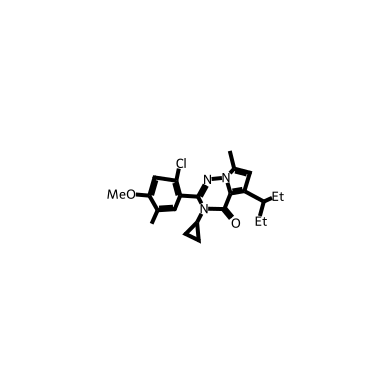 CCC(CC)c1cc(C)n2nc(-c3cc(C)c(OC)cc3Cl)n(C3CC3)c(=O)c12